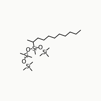 CCCCCCCCCC(C)[Si](C)(O[Si](C)(C)C)O[Si](C)(C)O[Si](C)(C)C